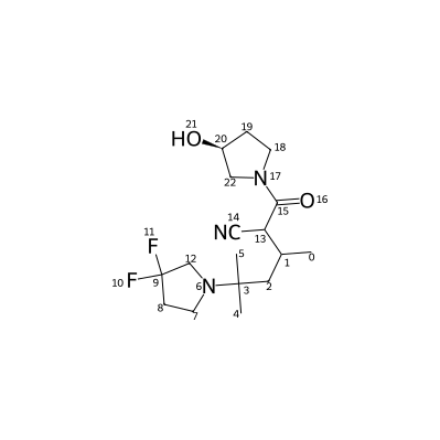 CC(CC(C)(C)N1CCC(F)(F)C1)C(C#N)C(=O)N1CC[C@H](O)C1